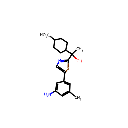 Cc1cc(N)cc(-c2cnc(C(C)(O)C3CCC(C(=O)O)CC3)s2)c1